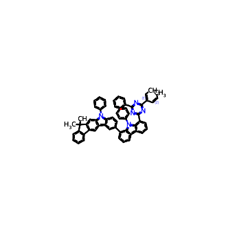 C/C=C\C(=C/C)c1nc(-c2ccccc2)nc(-c2cccc3c4cccc(-c5ccc6c(c5)c5cc7c(cc5n6-c5ccccc5)C(C)(C)c5ccccc5-7)c4n(-c4ccccc4)c23)n1